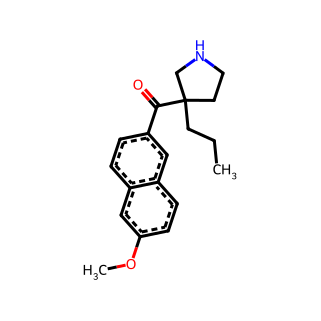 CCCC1(C(=O)c2ccc3cc(OC)ccc3c2)CCNC1